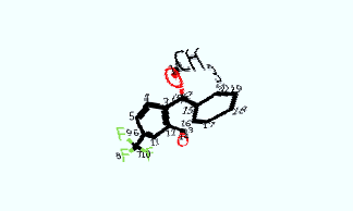 CO[C@H](c1ccc(C(F)(F)F)cc1C=O)C1CCCCC1